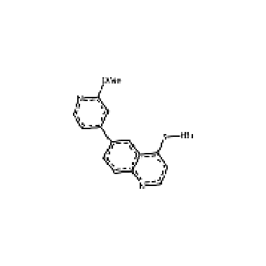 COc1cc(-c2ccc3nccc(SC(C)(C)C)c3c2)ccn1